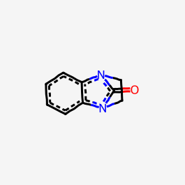 O=c1n2c3ccccc3n1CC2